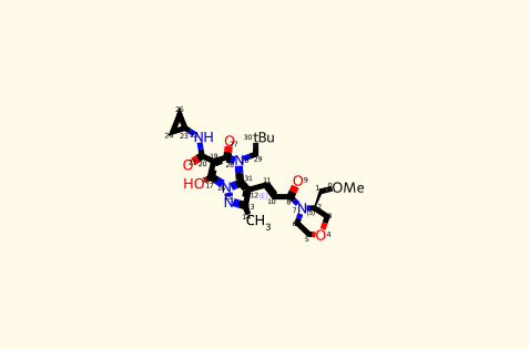 COC[C@H]1COCCN1C(=O)/C=C/c1c(C)nn2c(O)c(C(=O)NC3CC3)c(=O)n(CC(C)(C)C)c12